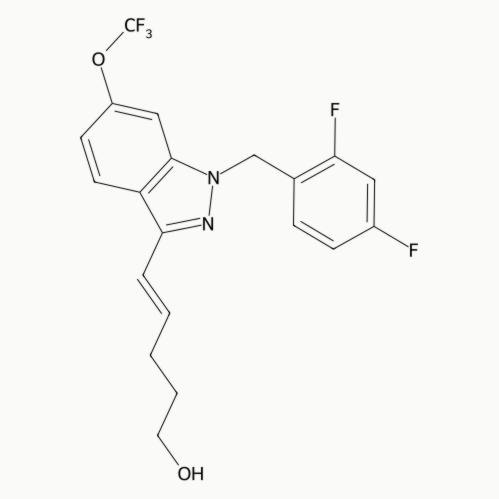 OCCCC=Cc1nn(Cc2ccc(F)cc2F)c2cc(OC(F)(F)F)ccc12